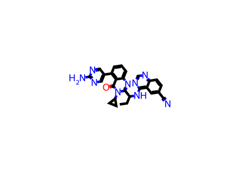 CCC(Nc1ncnc2ccc(C#N)cc12)c1nc2cccc(-c3cnc(N)nc3)c2c(=O)n1C1CC1